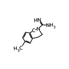 Cc1ccc2c(c1)CCN(C(=N)N)C2